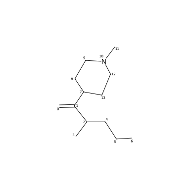 C=C(C(C)CCC)C1CCN(C)CC1